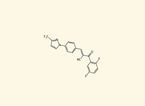 N#C/C(=C\c1ccc(-n2ccc(C(F)(F)F)n2)cc1)C(=O)c1cc(F)ccc1F